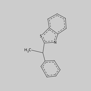 CC(c1ccccc1)c1nc2ccccc2s1